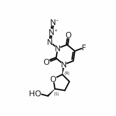 [N-]=[N+]=Nn1c(=O)c(F)cn([C@H]2CC[C@@H](CO)O2)c1=O